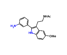 COc1ccc2[nH]c(-c3cccc(N)c3)c(CCNC(C)=O)c2c1